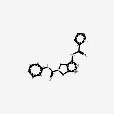 O=C(Nc1n[nH]c2c1CN(C(=O)Nc1ccccc1)C2)c1cccs1